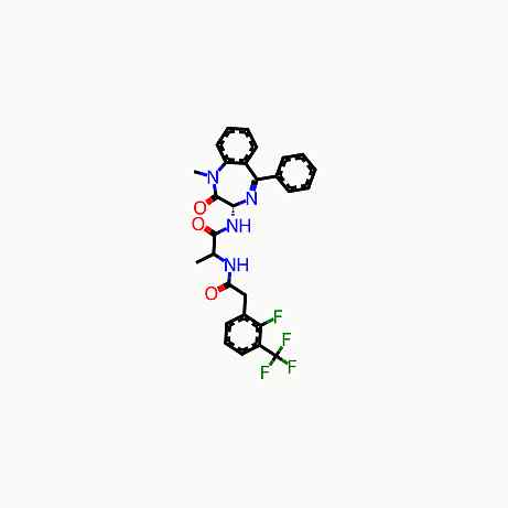 CC(NC(=O)Cc1cccc(C(F)(F)F)c1F)C(=O)N[C@H]1N=C(c2ccccc2)c2ccccc2N(C)C1=O